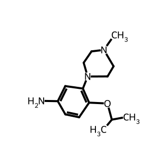 CC(C)Oc1ccc(N)cc1N1CCN(C)CC1